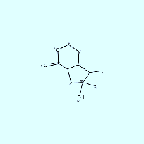 CC1C2CCOC(=O)C2CC1(C)O